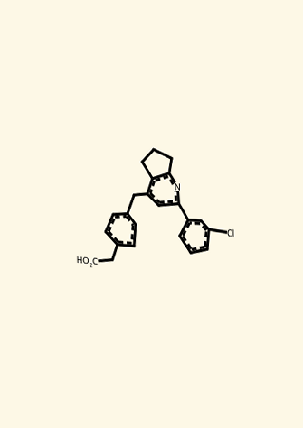 O=C(O)Cc1ccc(Cc2cc(-c3cccc(Cl)c3)nc3c2CCC3)cc1